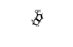 OC1C=Cc2scnc21